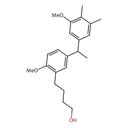 COc1ccc(C(C)c2cc(C)c(C)c(OC)c2)cc1CCCCO